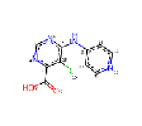 O=C(O)c1ncnc(Nc2ccncc2)c1Cl